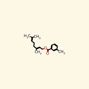 CC(C)=CCC/C(C)=C/COC(=O)c1cccc(C)c1